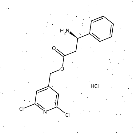 Cl.N[C@H](CC(=O)OCc1cc(Cl)nc(Cl)c1)c1ccccc1